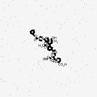 CC(C)(CO)Cc1c(-c2ccnc(N3CCN(C(=O)OCc4ccccc4)CC3)c2)n(C(C)(C)C#N)c2ccc(-c3csc(C[C@H](NC(=O)OC(C)(C)C)C(=O)N4CCC[C@@H](C(=O)O)N4)n3)cc12